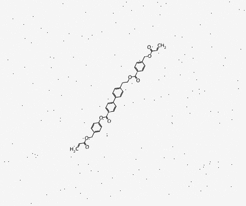 C=CC(=O)OCc1ccc(OC(=O)c2ccc(-c3ccc(CCOC(=O)c4ccc(COC(=O)C=C)cc4)cc3)cc2)cc1